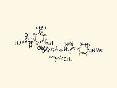 CNc1ccc(-c2cn(-c3cc(C(=O)Nc4cc(C(C)(C)C)cc(N[S+](C)[O-])c4OC)ccc3C)nn2)cn1